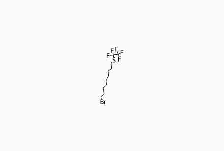 FC(F)(F)C(F)(F)SCCCCCCCCCBr